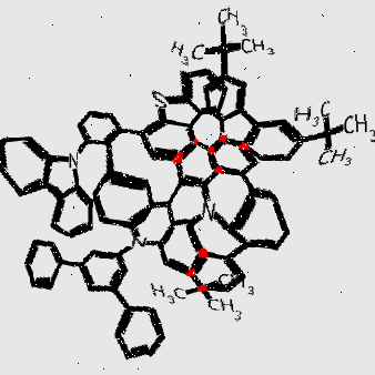 CC(C)(C)c1cc2c3c(c1)N(c1c(-c4ccccc4)cccc1-c1ccccc1)c1cc(-n4c5ccc(C(C)(C)C)cc5c5cc(C(C)(C)C)ccc54)ccc1C3c1cc(-c3c(-c4cccc5c4sc4ccccc45)cccc3-n3c4ccccc4c4ccccc43)ccc1N2c1cc(-c2ccccc2)cc(-c2ccccc2)c1